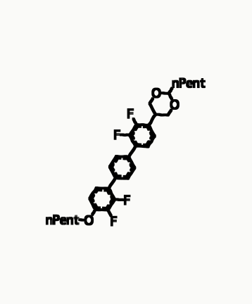 CCCCCOc1ccc(-c2ccc(-c3ccc(C4COC(CCCCC)OC4)c(F)c3F)cc2)c(F)c1F